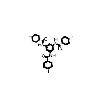 C[C@H]1CC[C@@H](C(=O)Nc2cc(NC(=O)[C@H]3CC[C@@H](C)CC3)cc(NC(=O)[C@H]3CC[C@@H](C)CC3)c2)CC1